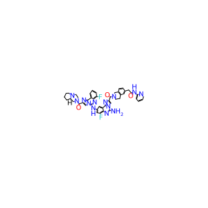 Nc1nc2c(F)cc(Nc3nc4c(F)cccc4c4nc(C(=O)N5CCN6CCCC[C@@H]6C5)cn34)cc2c2nc(C(=O)N3CCc4cc(CC(=O)Nc5ccccn5)ccc4C3)cn12